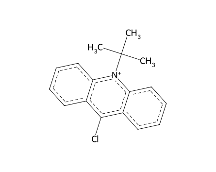 CC(C)(C)[n+]1c2ccccc2c(Cl)c2ccccc21